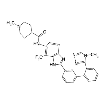 CN1CCC(C(=O)Nc2ccc3nc(-c4cccc(-c5ccccc5-c5nncn5C)c4)[nH]c3c2C(F)(F)F)CC1